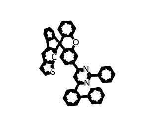 c1ccc(-c2nc(-c3ccc4c(c3)Oc3ccccc3C43c4ccccc4-c4cc5ccsc5cc43)cc(-c3ccccc3-c3ccccc3)n2)cc1